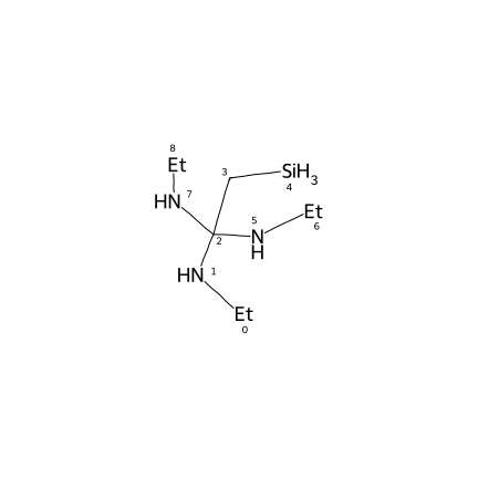 CCNC(C[SiH3])(NCC)NCC